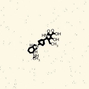 CCc1c(-c2ccc(N3C[C@H]4CCC[C@@H](NC)[C@H]4C3)cc2)[nH]c(=O)c(C(=O)O)c1O